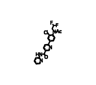 CC(=O)N(CC(F)F)c1ccc(-c2ccc(C(=O)Nc3ccccn3)cn2)cc1Cl